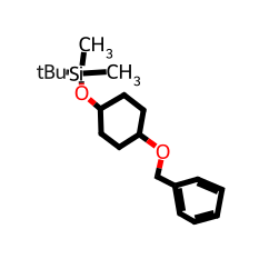 CC(C)(C)[Si](C)(C)OC1CCC(OCc2ccccc2)CC1